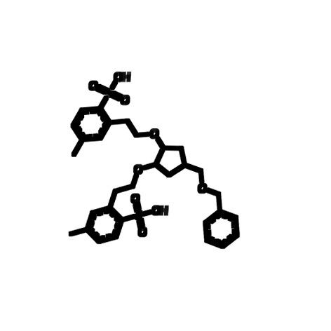 Cc1ccc(S(=O)(=O)O)c(CCOC2CC(COCc3ccccc3)CC2OCCc2cc(C)ccc2S(=O)(=O)O)c1